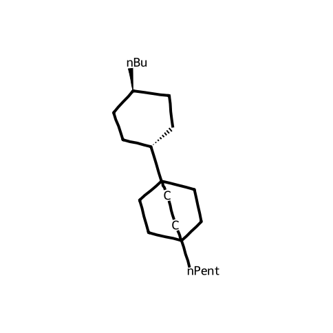 CCCCCC12CCC([C@H]3CC[C@H](CCCC)CC3)(CC1)CC2